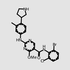 COc1nc(Nc2ccc(C3CCNC3)c(C)c2)ncc1C(=O)Nc1c(Cl)cccc1Br